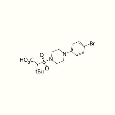 CC(C)(C)C(C(=O)O)S(=O)(=O)N1CCN(c2ccc(Br)cc2)CC1